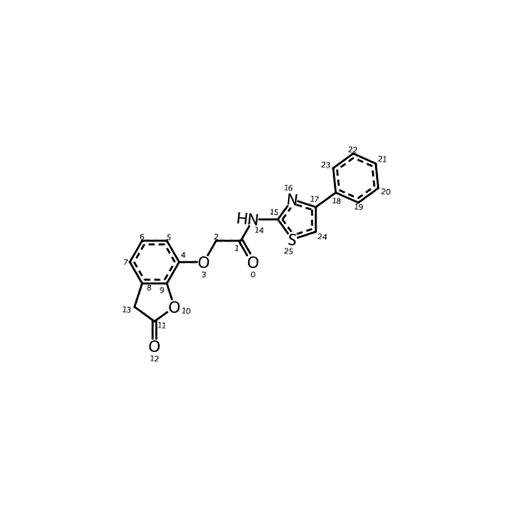 O=C(COc1cccc2c1OC(=O)C2)Nc1nc(-c2ccccc2)cs1